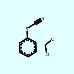 ClCCl.N#CSc1ccccc1